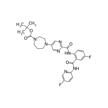 CC(C)(C)OC(=O)N1CCCN(c2cnc(C(=O)Nc3ccc(F)cc3C(=O)Nc3ccc(F)cn3)nc2)CC1